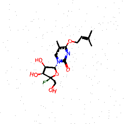 CC(C)=CCOc1nc(=O)n([C@@H]2O[C@](F)(CO)[C@@H](O)[C@H]2O)cc1C